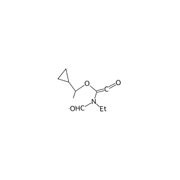 CCN([C]=O)C(=C=O)OC(C)C1CC1